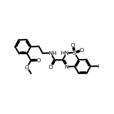 COC(=O)c1ccccc1CCNC(=O)C1=Nc2ccc(I)cc2S(=O)(=O)N1